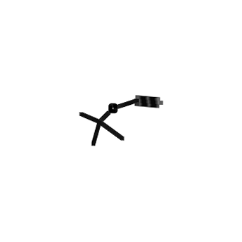 [C]#COC(C)(C)C